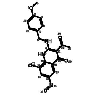 COc1ccc(CNc2[nH]c3c(Cl)cc(N=O)cc3c(=O)c2C(C)=O)cc1